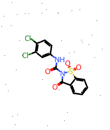 O=C(Nc1ccc(Cl)c(Cl)c1)N1C(=O)c2ccccc2S1(=O)=O